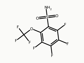 NS(=O)(=O)c1c(F)c(F)c(F)c(F)c1OC(F)(F)F